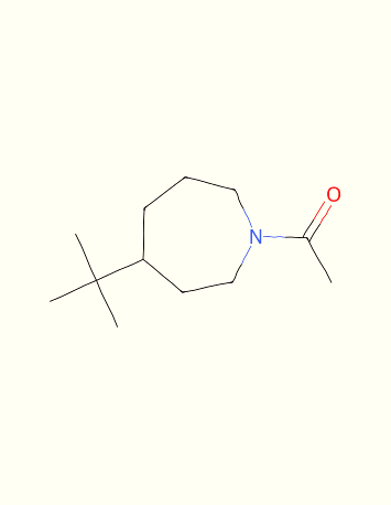 CC(=O)N1CCCC(C(C)(C)C)CC1